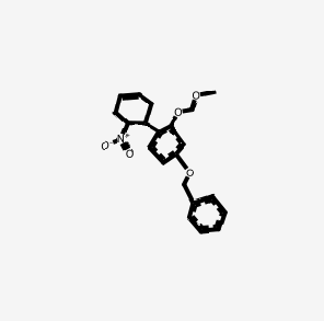 COCOc1cc(OCc2ccccc2)ccc1C1CC=CCC1[N+](=O)[O-]